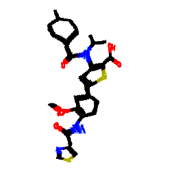 COc1cc(-c2cc(N(C(=O)C3CCC(C)CC3)C(C)C)c(C(=O)O)s2)ccc1NC(=O)c1cscn1